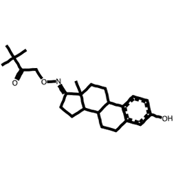 CC(C)(C)C(=O)CO/N=C1\CCC2C3CCc4cc(O)ccc4C3CCC12C